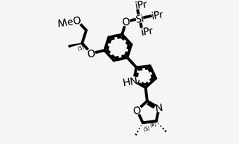 COC[C@H](C)Oc1cc(O[Si](C(C)C)(C(C)C)C(C)C)cc(-c2ccc(C3=N[C@H](C)[C@H](C)O3)[nH]2)c1